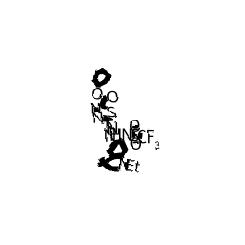 CCN1CCC(C)(C)c2cc(N=Nc3nnc(C(=O)OC4CCCCC4)s3)c(NS(=O)(=O)C(F)(F)F)cc21